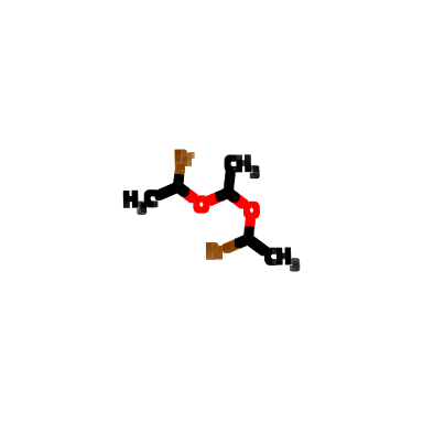 CC(Br)OC(C)OC(C)Br